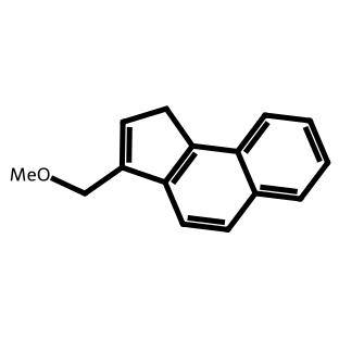 COCC1=CCc2c1ccc1ccccc21